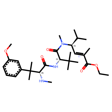 CCOC(=O)/C(C)=C/[C@H](C(C)C)N(C)C(=O)[C@@H](NC(=O)[C@H](NC)C(C)(C)c1cccc(OC)c1)C(C)(C)C